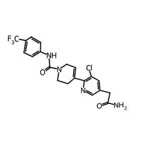 NC(=O)Cc1cnc(C2=CCN(C(=O)Nc3ccc(C(F)(F)F)cc3)CC2)c(Cl)c1